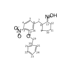 O=[N+]([O-])c1ccc(CC2CCCCC2=NO)cc1OCc1ccccc1